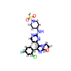 CS(=O)(=O)N1CCC(Nc2nccc(-c3c(-c4ccc(F)cc4Cl)nc4occn34)n2)CC1